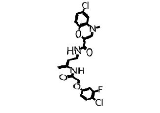 C=C(CCNC(=O)C1CN(C)c2cc(Cl)ccc2O1)NC(=O)COc1ccc(Cl)c(F)c1